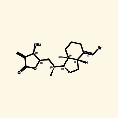 C=C1C(=O)O[C@H](C[C@@H](C)[C@H]2CC[C@H]3/C(=C/Br)CCC[C@]23C)[C@@H]1CCCC